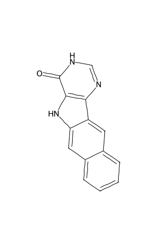 O=c1[nH]cnc2c1[nH]c1cc3ccccc3cc12